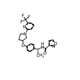 C[C@H](NC(=O)c1ccon1)c1ccc(OC2CCN(c3cccc(C(F)(F)F)n3)C2)cc1